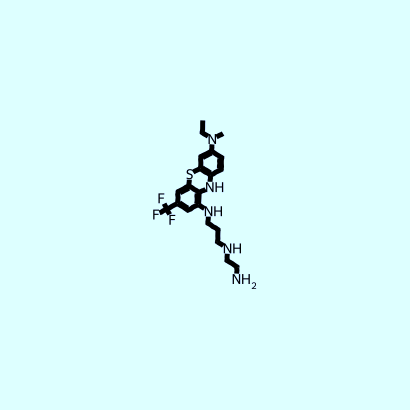 CCN(C)c1ccc2c(c1)Sc1cc(C(F)(F)F)cc(NCCCNCCN)c1N2